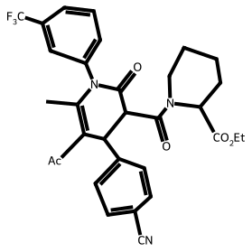 CCOC(=O)C1CCCCN1C(=O)C1C(=O)N(c2cccc(C(F)(F)F)c2)C(C)=C(C(C)=O)C1c1ccc(C#N)cc1